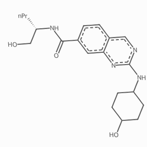 CCC[C@@H](CO)NC(=O)c1ccc2cnc(NC3CCC(O)CC3)nc2c1